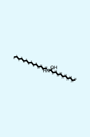 CCCCCCCCCCCCCCNC(O)CCCCCCCCCC